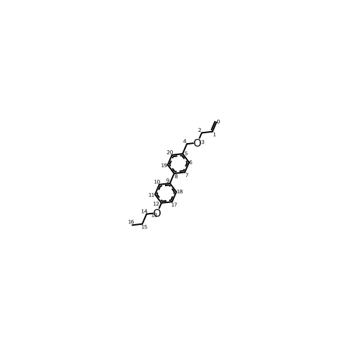 C=CCOCc1ccc(-c2ccc(OCCC)cc2)cc1